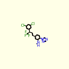 CNc1cc(C=CC(c2cc(Cl)cc(Cl)c2)C(F)(F)F)ccc1-n1cncn1